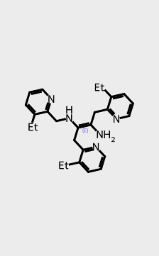 CCc1cccnc1CN/C(Cc1ncccc1CC)=C(/N)Cc1ncccc1CC